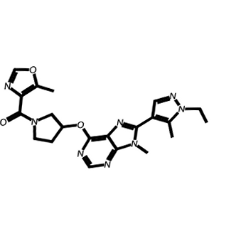 CCn1ncc(-c2nc3c(OC4CCN(C(=O)c5ncoc5C)C4)ncnc3n2C)c1C